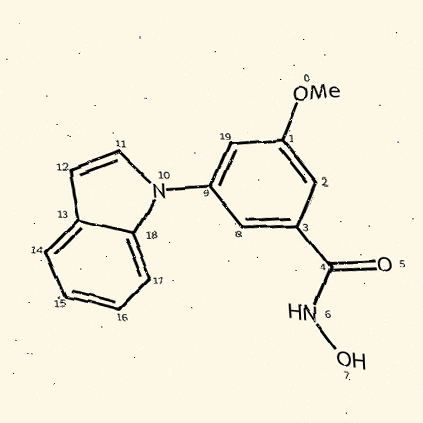 COc1cc(C(=O)NO)cc(-n2ccc3c[c]ccc32)c1